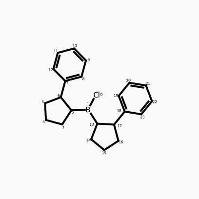 ClB(C1CCCC1c1ccccc1)C1CCCC1c1ccccc1